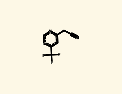 N#CCc1cc(C(F)(F)F)ncn1